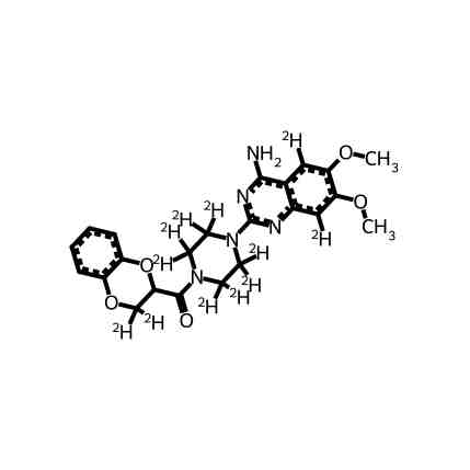 [2H]c1c(OC)c(OC)c([2H])c2c(N)nc(N3C([2H])([2H])C([2H])([2H])N(C(=O)C4Oc5ccccc5OC4([2H])[2H])C([2H])([2H])C3([2H])[2H])nc12